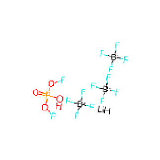 F[B-](F)(F)F.F[B-](F)(F)F.F[B-](F)(F)F.O=P(O)(OF)OF.[LiH]